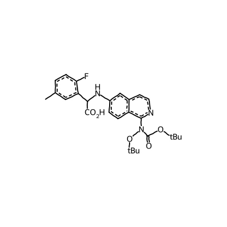 Cc1ccc(F)c(C(Nc2ccc3c(N(OC(C)(C)C)C(=O)OC(C)(C)C)nccc3c2)C(=O)O)c1